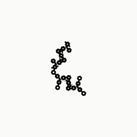 Cc1ccc(C)c(N(c2ccccc2)c2ccc3c4cccc5c6cc7c(cc6n(c3c2)c45)c2cccc3c4ccc(N(c5ccccc5)c5cc(C)c(C6CCCC(c8ccc(N(c9ccc(C%10CCCCC%10)cc9)c9ccc%10c%11cccc%12c%13cc%14c(cc%13n(c%10c9)c%11%12)c9cccc%10c%11ccc(N(c%12ccc(C%13CCCCC%13)cc%12)c%12ccc(C%13CCCCC%13)cc%12)cc%11n%14c%109)cc8)C6)cc5C)cc4n7c32)c1